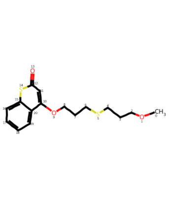 COCCCSCCCOc1cc(=O)sc2ccccc12